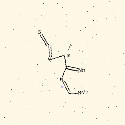 CN/C=N\C(=N)[C@@H](C)N=C=S